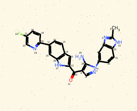 Cc1nc2cc(-n3ncc(C(=O)c4cc5ccc(-c6ccc(F)cn6)cc5[nH]4)c3N)ccc2[nH]1